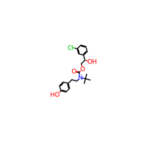 CC(C)(C)N(CCc1ccc(O)cc1)C(=O)OC[C@H](O)c1cccc(Cl)c1